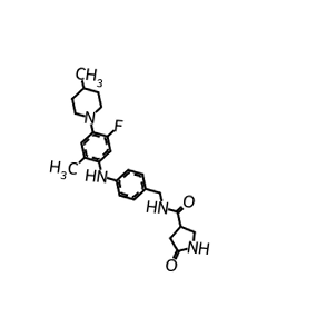 Cc1cc(N2CCC(C)CC2)c(F)cc1Nc1ccc(CNC(=O)C2CNC(=O)C2)cc1